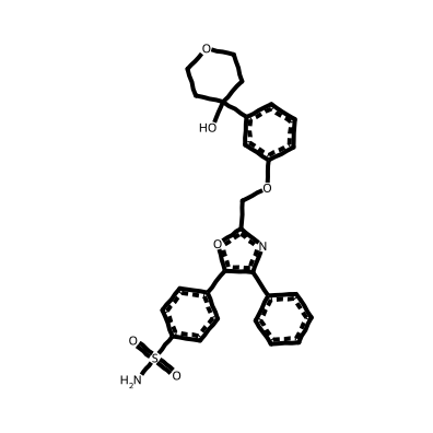 NS(=O)(=O)c1ccc(-c2oc(COc3cccc(C4(O)CCOCC4)c3)nc2-c2ccccc2)cc1